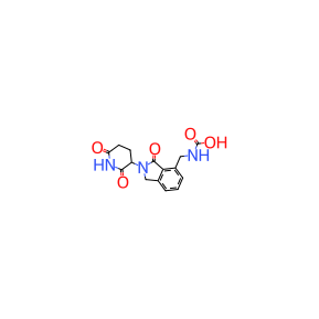 O=C(O)NCc1cccc2c1C(=O)N(C1CCC(=O)NC1=O)C2